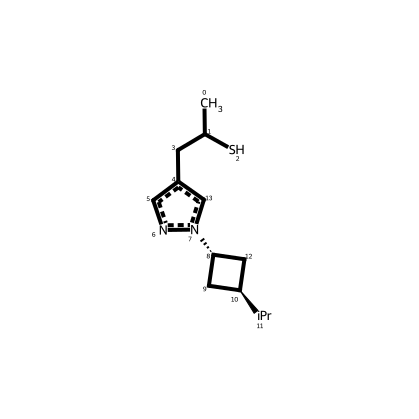 CC(S)Cc1cnn([C@H]2C[C@H](C(C)C)C2)c1